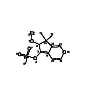 CCOC1C(OS(C)(=O)=O)=C2C=COC=C2C1(C)C